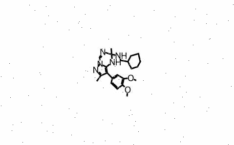 COc1ccc(-c2c(C)nn3c2NC(C)(NCC2CCCCC2)N=C3)cc1OC